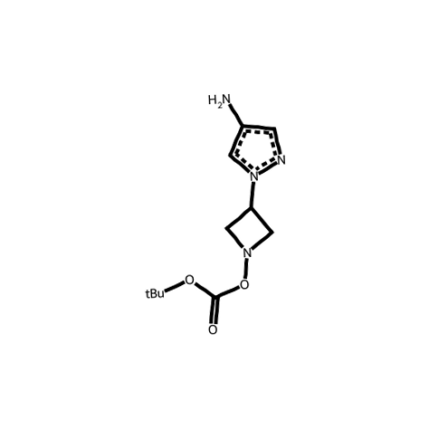 CC(C)(C)OC(=O)ON1CC(n2cc(N)cn2)C1